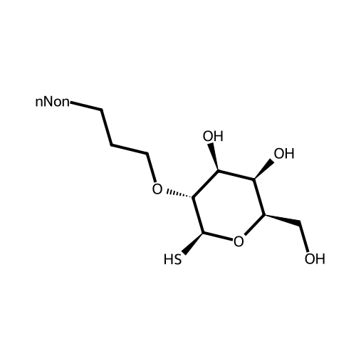 CCCCCCCCCCCCO[C@@H]1[C@@H](O)[C@@H](O)[C@@H](CO)O[C@H]1S